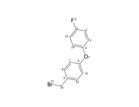 Fc1ccc(Oc2ccc(CBr)cc2)cc1